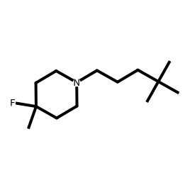 CC(C)(C)CCCN1CCC(C)(F)CC1